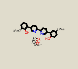 CC(=O)[O-].CC(=O)[O-].CC(=O)[O-].COc1ccc(O)c(-c2ccc(-c3ccc(-c4cccc(OC)c4O)cn3)nc2)c1.[Mn+3]